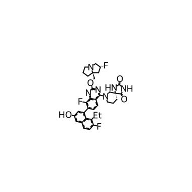 CCc1c(F)ccc2cc(O)cc(-c3ccc4c(N5CCC[C@]6(C5)NC(=O)NC6=O)nc(OC[C@@]56CCCN5C[C@H](F)C6)nc4c3F)c12